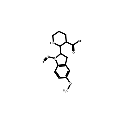 COc1ccc2c(c1)CC(C1NCCCC1C(=O)O)N2N=O